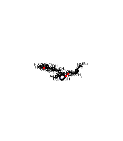 CCN(C(C)=O)C1COC(OC2C(O[C@H]3C#C/C=C\C#C[C@]4(O)CC(=O)C(NC(=O)OC)=C3/C4=C\CSSC(C)(C)CC(=O)NN=C(C)c3ccc(OCCC(=O)NC(C)(C)C)cc3)OC(C)C(NOC3CC(O)C(SC(=O)c4c(C)c(I)c(OC5OC(C)C(O)C(OC)C5O)c(OC)c4OC)C(C)O3)C2O)CC1OC